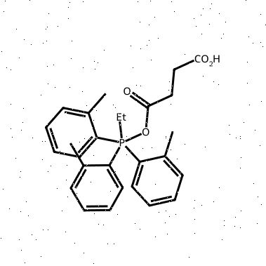 CCP(OC(=O)CCC(=O)O)(c1ccccc1C)(c1ccccc1C)c1ccccc1C